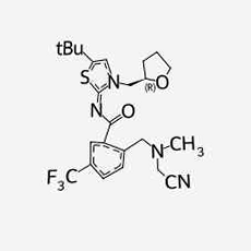 CN(CC#N)Cc1ccc(C(F)(F)F)cc1C(=O)N=c1sc(C(C)(C)C)cn1C[C@H]1CCCO1